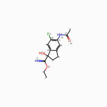 CCOC(=N)C1(O)CCc2cc(NC(C)=O)c(F)cc21